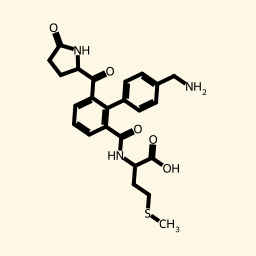 CSCCC(NC(=O)c1cccc(C(=O)C2CCC(=O)N2)c1-c1ccc(CN)cc1)C(=O)O